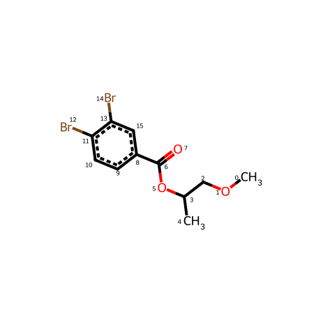 COCC(C)OC(=O)c1ccc(Br)c(Br)c1